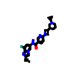 Cc1cn2cc(NC(=O)c3ccc(N4CC(C5CCCN(C6CC6)C5)C4)nc3)cc(F)c2n1